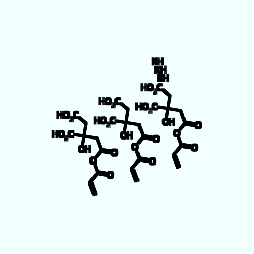 C=CC(=O)OC(=O)CC(O)(CC(=O)O)C(=O)O.C=CC(=O)OC(=O)CC(O)(CC(=O)O)C(=O)O.C=CC(=O)OC(=O)CC(O)(CC(=O)O)C(=O)O.[KH].[KH].[KH]